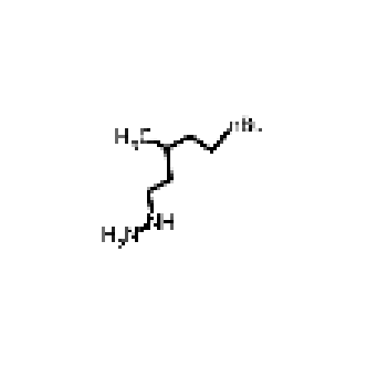 CCCCCCC(C)CCNN